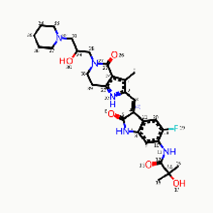 Cc1c(/C=C2\C(=O)Nc3cc(NC(=O)C(C)(C)O)c(F)cc32)[nH]c2c1C(=O)N(CC(O)CN1CCCCC1)CC2